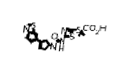 CN(C(=O)Nc1ncc(SC(C)(C)C(=O)O)s1)C1CCC(c2ccc3ncsc3c2)C1